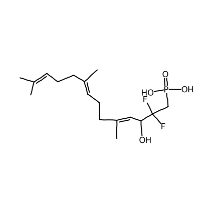 CC(C)=CCCC(C)=CCCC(C)=CC(O)C(F)(F)CP(=O)(O)O